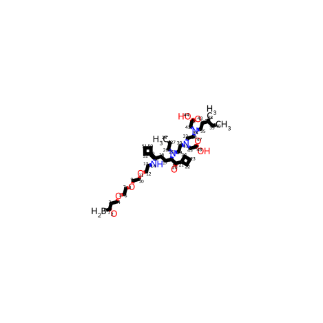 BC(=O)CCOCCOCCOCCNC(CCC(C(=O)C1CCC1)N(CCC)CCN(CCN(CCC(C)CC)CC(=O)O)CC(=O)O)=C1CCC1